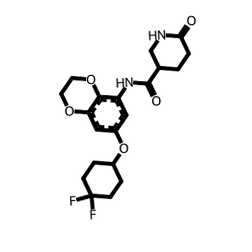 O=C1CCC(C(=O)Nc2cc(OC3CCC(F)(F)CC3)cc3c2OCCO3)CN1